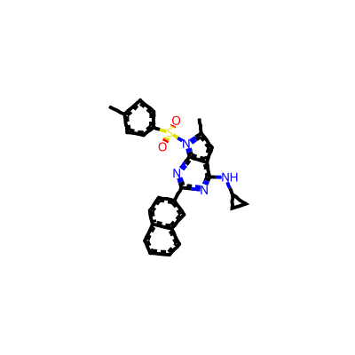 Cc1ccc(S(=O)(=O)n2c(C)cc3c(NC4CC4)nc(-c4ccc5ccccc5c4)nc32)cc1